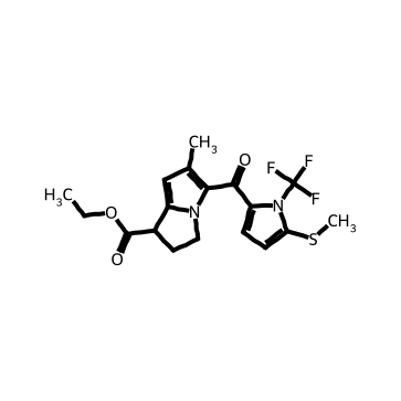 CCOC(=O)C1CCn2c1cc(C)c2C(=O)c1ccc(SC)n1C(F)(F)F